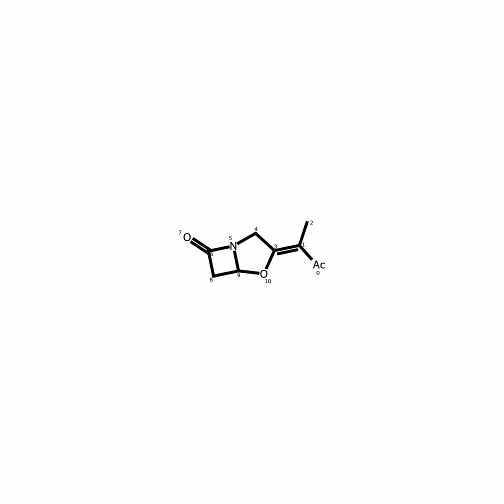 CC(=O)C(C)=C1CN2C(=O)CC2O1